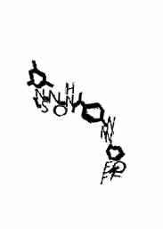 C/C(NC(=O)/N=C1\SCCN1c1c(C)cc(C)cc1C)=C(/C)c1ccc(-c2ncn(-c3ccc(OC(F)(F)F)cc3)n2)cc1